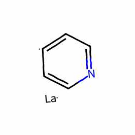 [La].[c]1ccncc1